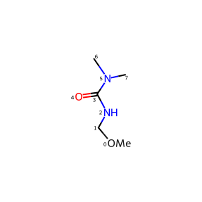 COCNC(=O)N(C)C